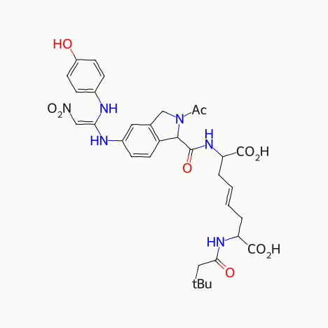 CC(=O)N1Cc2cc(NC(=C[N+](=O)[O-])Nc3ccc(O)cc3)ccc2C1C(=O)NC(CC=CCC(NC(=O)CC(C)(C)C)C(=O)O)C(=O)O